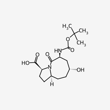 CC(C)(C)OC(=O)N[C@H]1C[C@H](O)CC[C@H]2CC[C@@H](C(=O)O)N2C1=O